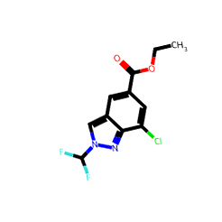 CCOC(=O)c1cc(Cl)c2nn(C(F)F)cc2c1